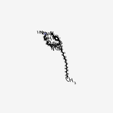 CCCCCCCCCCCCCCCCCCOC[C@@H](COP(=O)(O)OC[C@]1(C#N)CC[C@H](c2ccc(/C(N)=N\C=N)[nH]2)O1)Oc1ccc(C#N)nc1